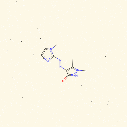 Cc1c(/N=N/c2nccn2C)c(=O)[nH]n1C